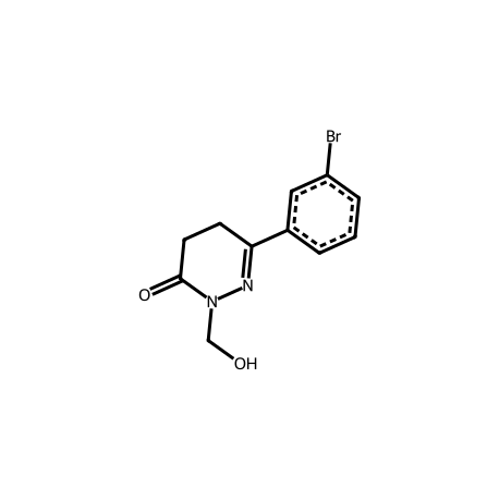 O=C1CCC(c2cccc(Br)c2)=NN1CO